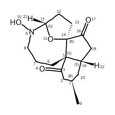 C[C@H]1CC(=O)[C@]23CCCN(O)[C@@H]4CC[C@]2(O4)C(=O)C[C@@H]3C1